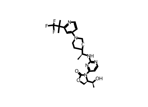 C[C@H](Nc1nccc(N2C(=O)OC[C@@H]2[C@H](C)O)n1)C1CCN(c2ccnc(C(C)(C)C(F)(F)F)c2)CC1